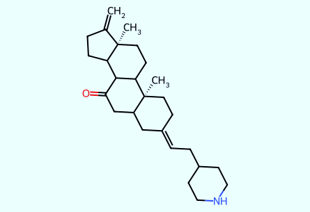 C=C1CCC2C3C(=O)CC4C/C(=C/CC5CCNCC5)CC[C@]4(C)C3CC[C@]12C